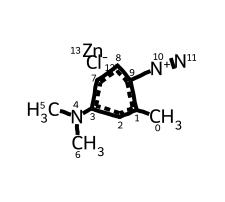 Cc1cc(N(C)C)ccc1[N+]#N.[Cl-].[Zn]